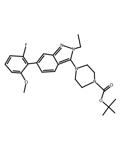 CCn1nc2cc(-c3c(F)cccc3OC)ccc2c1N1CCN(C(=O)OC(C)(C)C)CC1